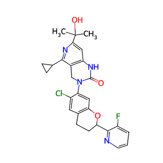 CC(C)(O)c1cc2c(c(C3CC3)n1)CN(c1cc3c(cc1Cl)CCC(c1ncccc1F)O3)C(=O)N2